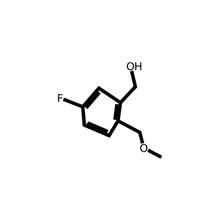 COCc1ccc(F)cc1CO